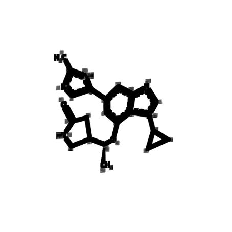 Cc1ncc(-c2cc(O[C@H](C)C3CNC(=O)C3)c3c(c2)ncn3C2CC2)[nH]1